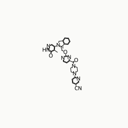 Cc1c(N2Cc3ccccc3[C@H]2COc2nccc(C(=O)N3CCN(c4ccc(C#N)cn4)CC3)n2)cn[nH]c1=O